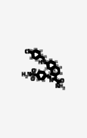 NC(=O)c1nn(-c2ccc(S(N)(=O)=O)cc2)c2c1CCc1ccc(NCc3ccc(Cl)cc3)cc1-2